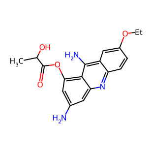 CCOc1ccc2nc3cc(N)cc(OC(=O)C(C)O)c3c(N)c2c1